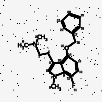 CN(C)CCc1cn(C)c2c(F)ccc(OCc3ccccc3)c12